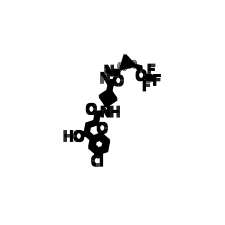 O=C(NC12CC(c3nnc([C@@H]4C[C@H]4COC(F)(F)F)o3)(C1)C2)C1CC(O)c2cc(Cl)ccc2O1